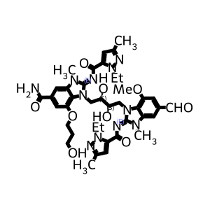 CCn1nc(C)cc1C(=O)/N=c1\n(C)c2cc(C=O)cc(OC)c2n1C[C@H](O)[C@@H](O)Cn1/c(=N/C(=O)c2cc(C)nn2CC)n(C)c2cc(C(N)=O)cc(OCCCO)c21